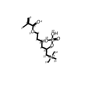 C=C(C)C(=O)OCCCCC(C[N+](C)(C)C)OP(=O)(O)O